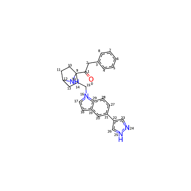 O=C(Cc1ccccc1)C12CCC(CC1Cn1ccc3cc(-c4cn[nH]c4)ccc31)N2